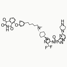 CN(CCCCCc1ccc(Oc2cccc3c2C(=O)NC(=O)C3=O)cc1)C[C@H]1CC[C@H](n2cc(NC(=O)c3cnn4ccc(N5CCNCC5)nc34)c(C(F)F)n2)CC1